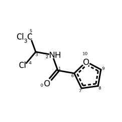 O=C(NC(Cl)C(Cl)(Cl)Cl)c1ccco1